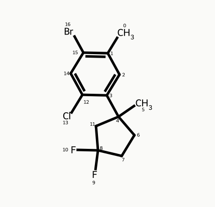 Cc1cc(C2(C)CCC(F)(F)C2)c(Cl)cc1Br